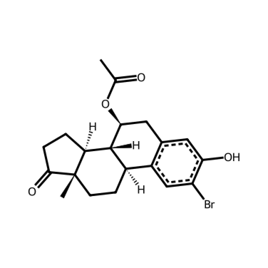 CC(=O)O[C@H]1Cc2cc(O)c(Br)cc2[C@H]2CC[C@]3(C)C(=O)CC[C@H]3[C@H]12